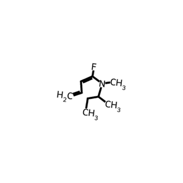 C=C/C=C(/F)N(C)C(C)CC